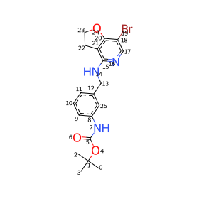 CC(C)(C)OC(=O)Nc1cccc(CNc2ncc(Br)c3c2CCO3)c1